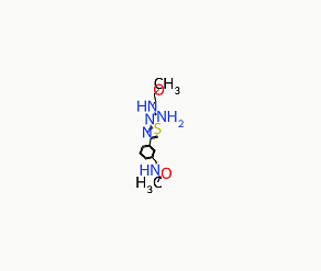 COCCN/C(N)=N/c1nc(-c2cccc(CNC(C)=O)c2)cs1